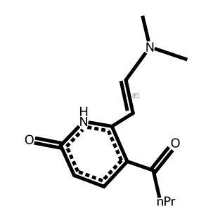 CCCC(=O)c1ccc(=O)[nH]c1/C=C/N(C)C